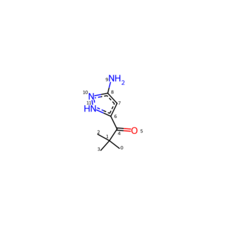 CC(C)(C)C(=O)c1cc(N)n[nH]1